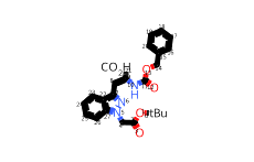 CC(C)(C)OC(=O)Cn1nc(C=C(NC(=O)OCc2ccccc2)C(=O)O)c2ccccc21